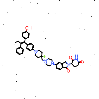 CCC(=C(c1ccc(O)cc1)c1ccc(N2CCC(F)(CN3CCN(c4ccc5c(c4)CN(C4CCC(=O)NC4=O)C5=O)CC3)CC2)cc1)c1ccccc1